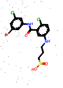 O=C(Nc1cc(Cl)cc(Br)c1)c1cc(NCCCS(=O)O)ccc1Cl